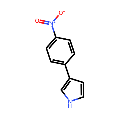 O=[N+]([O-])c1ccc(-c2cc[nH]c2)cc1